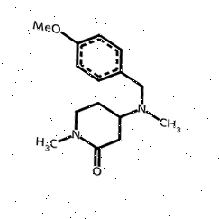 COc1ccc(CN(C)C2CCN(C)C(=O)C2)cc1